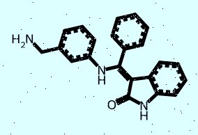 NCc1cccc(N/C(=C2\C(=O)Nc3ccccc32)c2ccccc2)c1